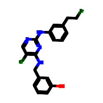 Oc1cccc(CNc2nc(Nc3cccc(CCBr)c3)ncc2Cl)c1